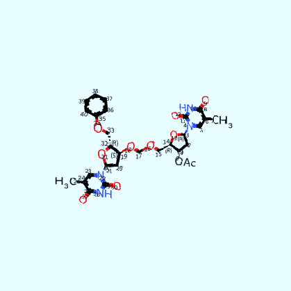 CC(=O)O[C@H]1C[C@H](n2cc(C)c(=O)[nH]c2=O)O[C@@H]1COCO[C@H]1C[C@H](n2cc(C)c(=O)[nH]c2=O)O[C@@H]1COc1ccccc1